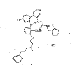 COc1c(OCCN(C)CCCc2ccccc2)cccc1[C@@H]1O[C@@H](CC(=O)NCc2ccccc2F)C(=O)N(CC(C)(C)C)c2ccc(Cl)cc21.Cl